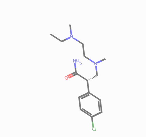 CCN(C)CCN(C)C[C@@H](C(N)=O)c1ccc(Cl)cc1